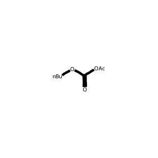 CCCCOC(=O)OC(C)=O